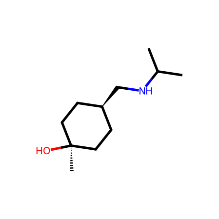 CC(C)NC[C@H]1CC[C@@](C)(O)CC1